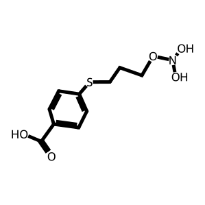 O=C(O)c1ccc(SCCCON(O)O)cc1